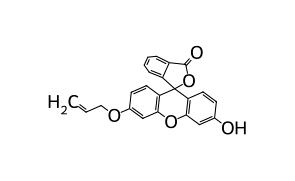 C=CCOc1ccc2c(c1)Oc1cc(O)ccc1C21OC(=O)c2ccccc21